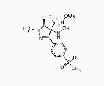 CO/N=C(\C)C1(NO)C(=O)N(C)N=C1c1ccc(S(C)(=O)=O)cc1